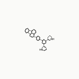 C1=CNCC(c2cc(C3=CNCCC3)cc(-c3ccc(-c4ccc5c6c(cccc46)-c4ccccc4-5)cc3)c2)=C1